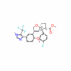 COC(=O)[C@H]1CC[C@@]2(C=C(c3cc(-c4ncn(C)c4C(F)(F)F)ccc3OC)CO2)[C@@H]1c1ccc(F)cc1